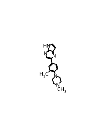 Cc1cc(-c2cnc3[nH]ccc3n2)ccc1N1CCN(C)CC1